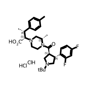 Cc1ccc([C@@H](C)[C@@H](C(=O)O)N2CCN(C(=O)[C@@H]3CN(C(C)(C)C)C[C@H]3c3ccc(F)cc3F)[C@@H](C)C2)cc1.Cl.Cl